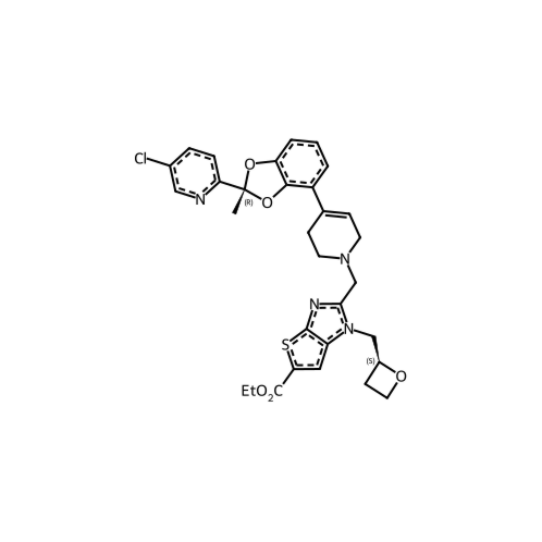 CCOC(=O)c1cc2c(nc(CN3CC=C(c4cccc5c4O[C@](C)(c4ccc(Cl)cn4)O5)CC3)n2C[C@@H]2CCO2)s1